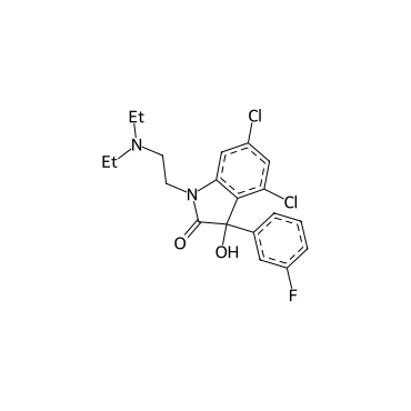 CCN(CC)CCN1C(=O)C(O)(c2cccc(F)c2)c2c(Cl)cc(Cl)cc21